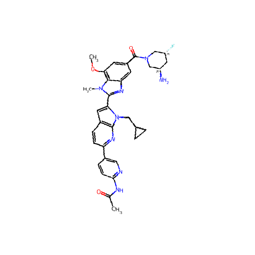 COc1cc(C(=O)N2C[C@H](N)C[C@@H](F)C2)cc2nc(-c3cc4ccc(-c5ccc(NC(C)=O)nc5)nc4n3CC3CC3)n(C)c12